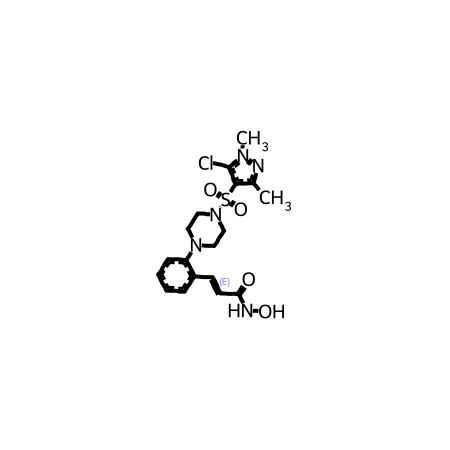 Cc1nn(C)c(Cl)c1S(=O)(=O)N1CCN(c2ccccc2/C=C/C(=O)NO)CC1